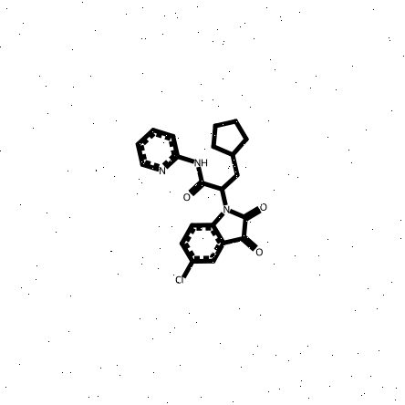 O=C1C(=O)N(C(CC2CCCC2)C(=O)Nc2ccccn2)c2ccc(Cl)cc21